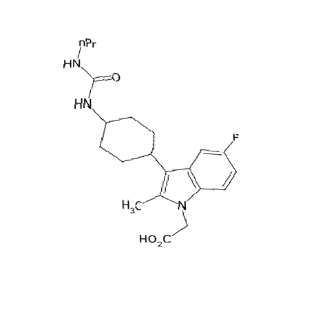 CCCNC(=O)NC1CCC(c2c(C)n(CC(=O)O)c3ccc(F)cc23)CC1